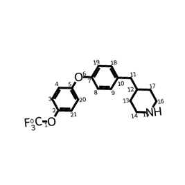 FC(F)(F)Oc1ccc(Oc2ccc(CC3CCNCC3)cc2)cc1